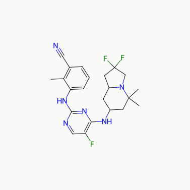 Cc1c(C#N)cccc1Nc1ncc(F)c(NC2CC3CC(F)(F)CN3C(C)(C)C2)n1